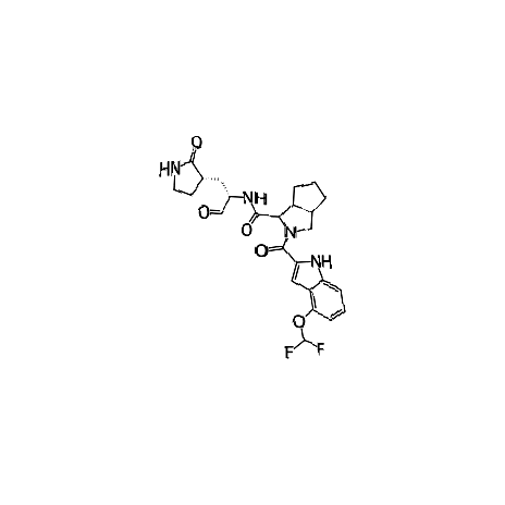 O=C[C@H](C[C@@H]1CCNC1=O)NC(=O)C1C2CCCC2CN1C(=O)c1cc2c(OC(F)F)cccc2[nH]1